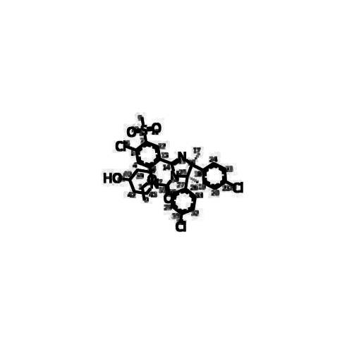 CCOc1cc(Cl)c(S(C)(=O)=O)cc1C1=N[C@@](C)(c2ccc(Cl)cc2)[C@@](C)(c2ccc(Cl)cc2)N1C(=O)N1CCC(O)CC1